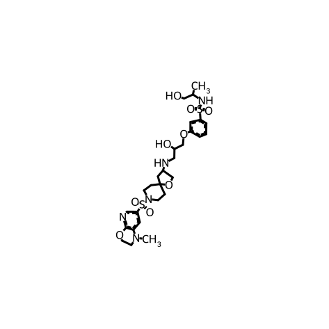 CC(CO)NS(=O)(=O)c1cccc(OCC(O)CNC2COC3(CCN(S(=O)(=O)c4cnc5c(c4)N(C)CCO5)CC3)C2)c1